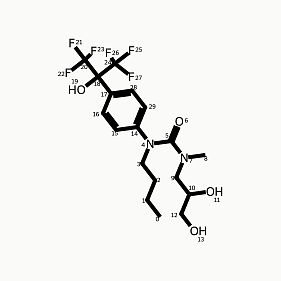 CCCCN(C(=O)N(C)CC(O)CO)c1ccc(C(O)(C(F)(F)F)C(F)(F)F)cc1